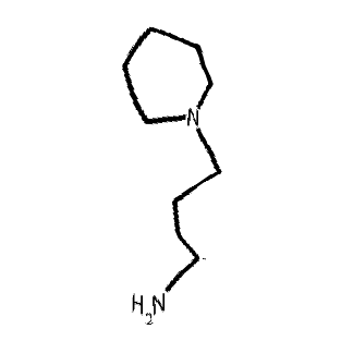 N[CH]CCN1CCCCC1